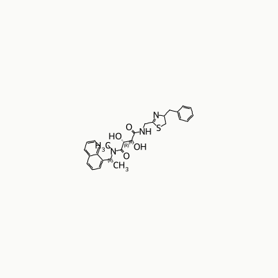 C[C@H](c1cccc2ccccc12)N(C)C(=O)[C@H](O)[C@@H](O)C(=O)NCC1=NC(Cc2ccccc2)CS1